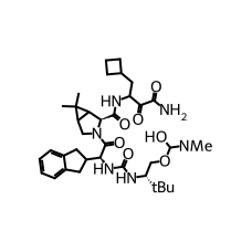 CNC(O)OC[C@@H](NC(=O)N[C@H](C(=O)N1CC2C([C@H]1C(=O)NC(CC1CCC1)C(=O)C(N)=O)C2(C)C)C1Cc2ccccc2C1)C(C)(C)C